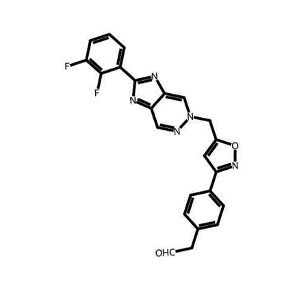 O=CCc1ccc(-c2cc(Cn3cc4nc(-c5cccc(F)c5F)nc-4cn3)on2)cc1